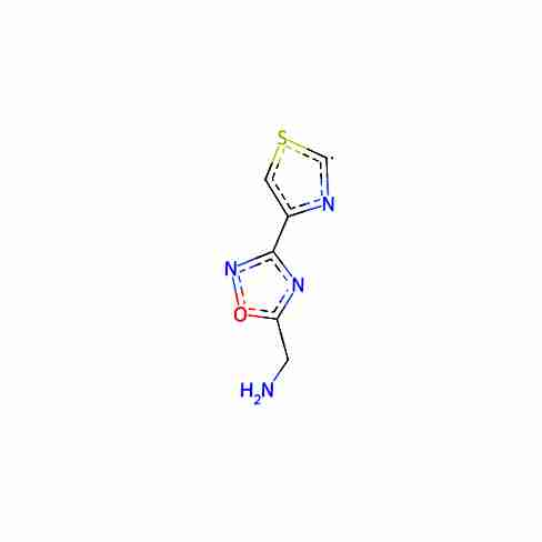 NCc1nc(-c2cs[c]n2)no1